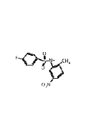 Cc1ccc([N+](=O)[O-])cc1NS(=O)(=O)c1ccc(F)cc1